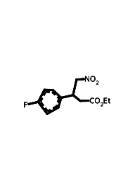 CCOC(=O)CC(C[N+](=O)[O-])c1ccc(F)cc1